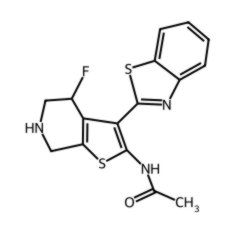 CC(=O)Nc1sc2c(c1-c1nc3ccccc3s1)C(F)CNC2